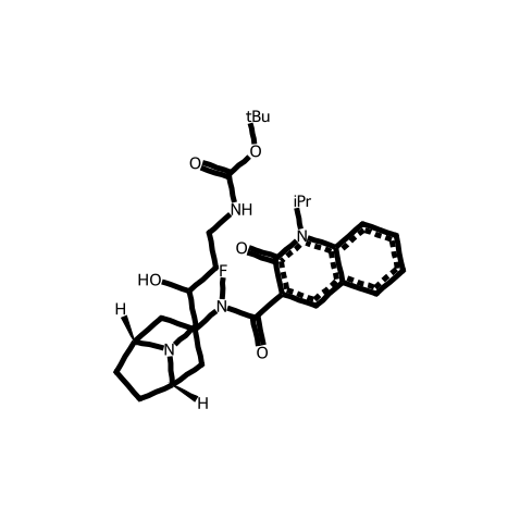 CC(C)n1c(=O)c(C(=O)N(F)C2C[C@H]3CC[C@@H](C2)N3CC(O)CCNC(=O)OC(C)(C)C)cc2ccccc21